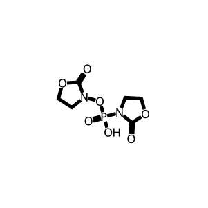 O=C1OCCN1OP(=O)(O)N1CCOC1=O